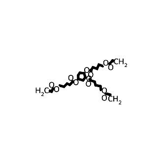 C=CC(=O)OCCCCC(=O)O[C@H]1CC[C@@H](OC(=O)CCCCOC(=O)C=C)[C@@H](OC(=O)CCCCOC(=O)C=C)C1